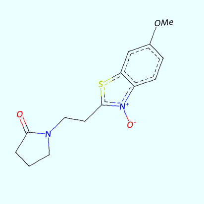 COc1ccc2c(c1)sc(CCN1CCCC1=O)[n+]2[O-]